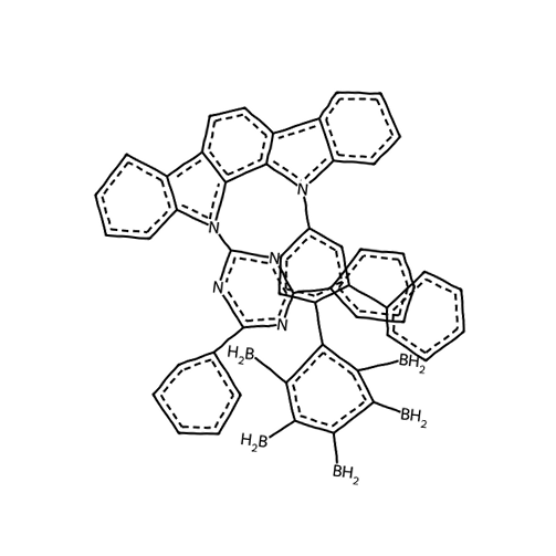 Bc1c(B)c(B)c(-c2ccc(-n3c4ccccc4c4ccc5c6ccccc6n(-c6nc(-c7ccccc7)nc(-c7ccccc7)n6)c5c43)cc2-c2ccccc2)c(B)c1B